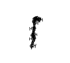 CCCC(=O)NCCOCCOCCNC(=O)c1ccc(C(=O)NCCOCCOCCNC(=O)CCCCCCCNC(=O)CC[C@H](NC(=O)N[C@@H](CCC(=O)O)C(=O)O)C(=O)O)cc1